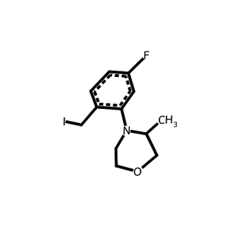 CC1COCCN1c1cc(F)ccc1CI